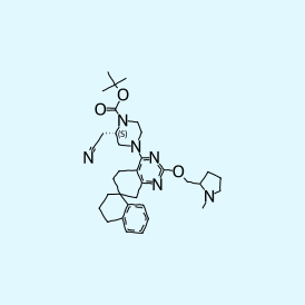 CN1CCCC1COc1nc2c(c(N3CCN(C(=O)OC(C)(C)C)[C@@H](CC#N)C3)n1)CCC1(CCCc3ccccc31)C2